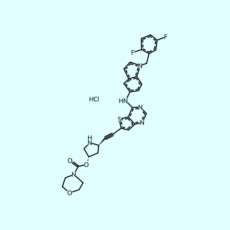 Cl.O=C(O[C@@H]1CN[C@@H](C#Cc2cc3ncnc(Nc4ccc5c(ccn5Cc5cc(F)ccc5F)c4)c3s2)C1)N1CCOCC1